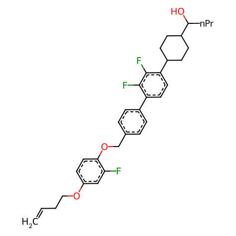 C=CCCOc1ccc(OCc2ccc(-c3ccc(C4CCC(C(O)CCC)CC4)c(F)c3F)cc2)c(F)c1